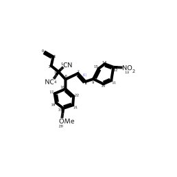 C=CCC(C#N)(C#N)C(/C=C/c1ccc([N+](=O)[O-])cc1)c1ccc(OC)cc1